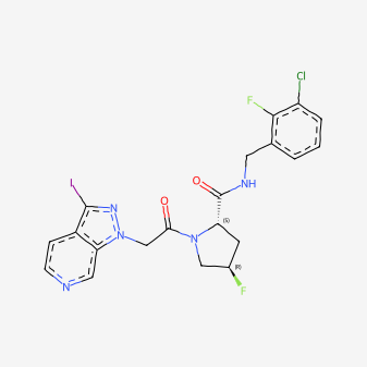 O=C(NCc1cccc(Cl)c1F)[C@@H]1C[C@@H](F)CN1C(=O)Cn1nc(I)c2ccncc21